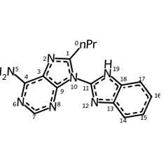 CCCc1nc2c(N)ncnc2n1-c1nc2ccccc2[nH]1